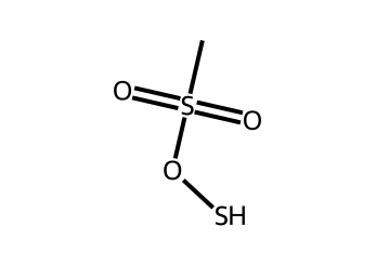 CS(=O)(=O)OS